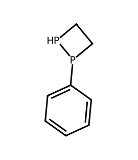 c1ccc(P2CCP2)cc1